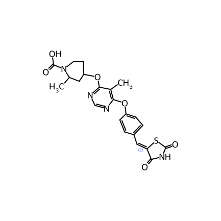 Cc1c(Oc2ccc(/C=C3\SC(=O)NC3=O)cc2)ncnc1OC1CCN(C(=O)O)C(C)C1